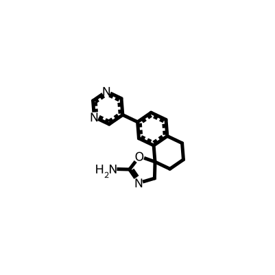 NC1=NCC2(CCCc3ccc(-c4cncnc4)cc32)O1